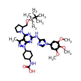 COc1cc(-n2cnc(Nc3nc(N4CCCC4CO[Si](C)(C)C(C)(C)C)c4c(C)nn(C5CCC(NC(=O)O)CC5)c4n3)c2)cc(OC)c1OC